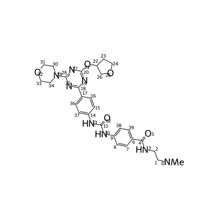 CNCCNC(=O)c1ccc(NC(=O)Nc2ccc(-c3nc(OC4CCOC4)nc(N4CCOCC4)n3)cc2)cc1